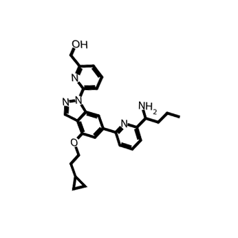 CCCC(N)c1cccc(-c2cc(OCCC3CC3)c3cnn(-c4cccc(CO)n4)c3c2)n1